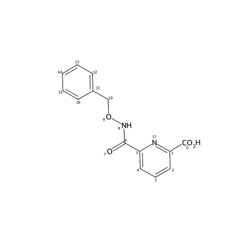 O=C(O)c1cccc(C(=O)NOCc2ccccc2)n1